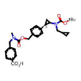 CN(Cc1ccc(C(=O)O)cc1)C(=O)OCc1ccc([C@H]2CC2N(CC2CC2)C(=O)OC(C)(C)C)cc1